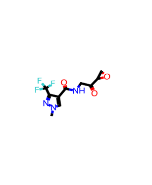 Cn1cc(C(=O)NCC(=O)C2CO2)c(C(F)(F)F)n1